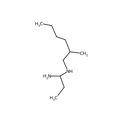 CCCCC(C)CNC(N)CC